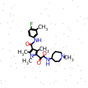 Cc1cc(NC(=O)c2c(C)c(C(=O)C(=O)NC3CCCN(C)CC3)n(C)c2C)ccc1F